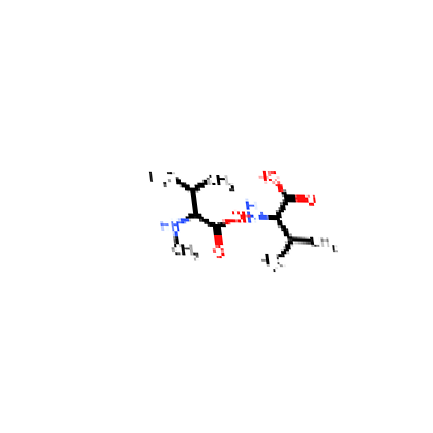 CC(C)C(N)C(=O)O.CNC(C(=O)O)C(C)C